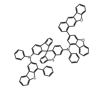 c1ccc(-c2cc(N(c3ccccc3)c3ccc4c(c3)C3(c5ccccc5Sc5cc(N(c6ccccc6)c6cc(-c7cccc8cc9c(cc78)oc7ccccc79)cc7oc8ccccc8c67)ccc53)c3ccccc3-4)cc3c2sc2ccccc23)cc1